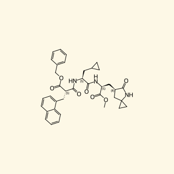 COC(=O)[C@H](C[C@@H]1CC2(CC2)NC1=O)NC(=O)[C@H](CC1CC1)NC(=O)[C@H](Cc1cccc2ccccc12)C(=O)OCc1ccccc1